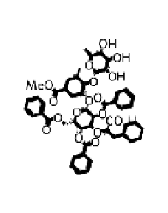 COC(=O)C1C[C@@H](C)C(O[C@@H]2OC(C)[C@@H](O)C(O)[C@@H]2O)[C@H](O[C@@H]2O[C@@H](COC(=O)c3ccccc3)[C@H](OC(=O)c3ccccc3)C(O[C@@H](CC3CCCCC3)C(=O)O)C2OC(=O)c2ccccc2)C1